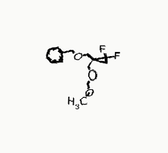 COCOC[C@]1(COCc2ccccc2)CC1(F)F